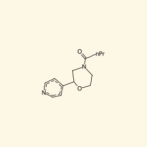 CCCC(=O)N1CCOC(c2ccncc2)C1